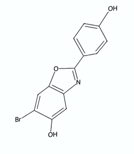 Oc1ccc(-c2nc3cc(O)c(Br)cc3o2)cc1